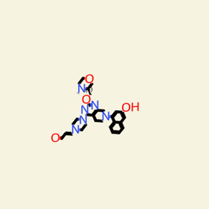 CN1CCOC[C@H]1COc1nc2c(c(N3CCN(C=CC=O)CC3)n1)CCN(c1cc(O)cc3ccccc13)C2